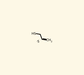 C=CCS.[S]